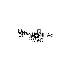 CCN(CC)CCNC(=O)c1cc(Cl)c(NC(C)=O)cc1OC